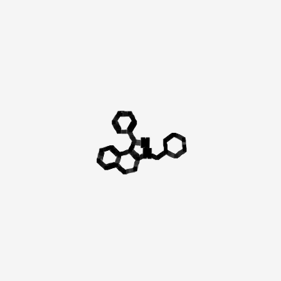 c1ccc(-c2nn(CC3CCCCC3)c3c2-c2ccccc2CC3)cc1